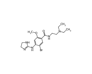 CCN(CC)CCNC(=O)c1cc(Br)c(NC2=NCCN2)cc1OC